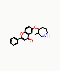 CC1CNCCCC1Oc1ccc2oc(-c3ccccc3)cc(=O)c2c1